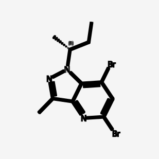 CC[C@@H](C)n1nc(C)c2nc(Br)cc(Br)c21